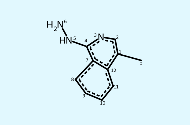 Cc1cnc(NN)c2ccccc12